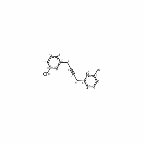 Cc1cccc(CC#CCc2cccc(Cl)c2)n1